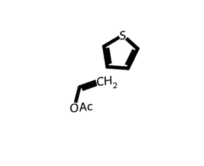 C=COC(C)=O.c1ccsc1